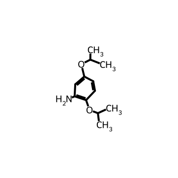 CC(C)Oc1ccc(OC(C)C)c(N)c1